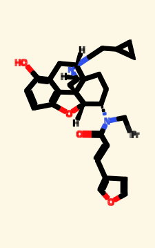 CC(C)CN(C(=O)/C=C/c1ccoc1)[C@H]1CC[C@H]2[C@H]3Cc4c(O)ccc5c4[C@@]2(CCN3CC2CC2)[C@H]1O5